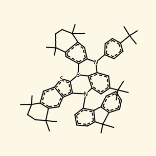 CC(C)(C)c1ccc(N2c3cc4c(cc3B3c5sc6cc7c(cc6c5N(c5cccc6c5-c5ccccc5C6(C)C)c5cc(C(C)(C)C)cc2c53)C(C)(C)CCC7(C)C)C(C)(C)CCC4(C)C)cc1